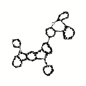 c1ccc(-n2c3ccccc3c3cc4c(cc32)c2cc(-c3ccc5c(c3)-c3ccccc3-c3ccccc3O5)ccc2n4-c2ccccc2)cc1